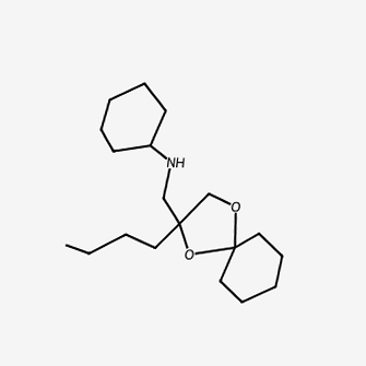 CCCCC1(CNC2CCCCC2)COC2(CCCCC2)O1